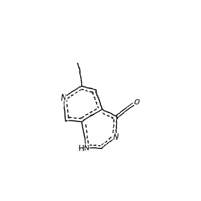 Cc1cc2c(=O)nc[nH]c2cn1